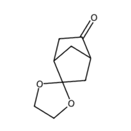 O=C1CC2CC1CC21OCCO1